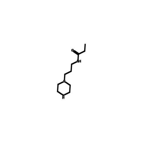 CCC(=O)NCCCN1CCNCC1